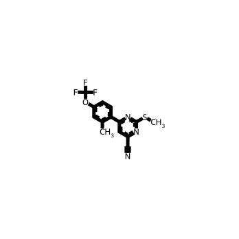 CSc1nc(C#N)cc(-c2ccc(OC(F)(F)F)cc2C)n1